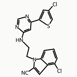 N#Cc1cc2c(Cl)cccc2n1CCNc1cc(-c2cc(Cl)cs2)ncn1